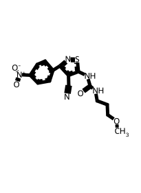 COCCCNC(=O)Nc1snc(-c2ccc([N+](=O)[O-])cc2)c1C#N